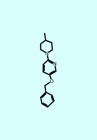 CC1CCN(c2ccc(OCc3ccccc3)cn2)CC1